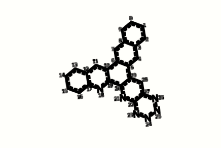 c1ccc2cc3c(cc2c1)c1cc2ccccc2nc1c1nc2nnnnc2cc31